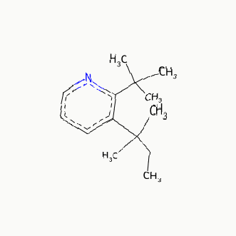 CCC(C)(C)c1cccnc1C(C)(C)C